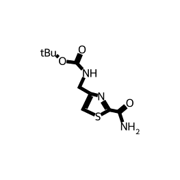 CC(C)(C)OC(=O)NCc1csc(C(N)=O)n1